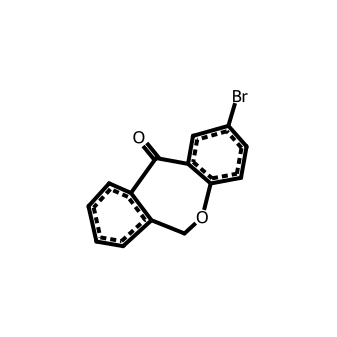 O=C1c2ccccc2COc2ccc(Br)cc21